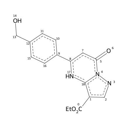 CCOC(=O)c1cnn2c(=O)cc(-c3ccc(CO)cc3)[nH]c12